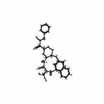 CC(Oc1ccccc1)C(=O)N1CCN2Cc3nc(c4ccccc4n3)N[C@@H](C(C)C)C(=O)NC2C1